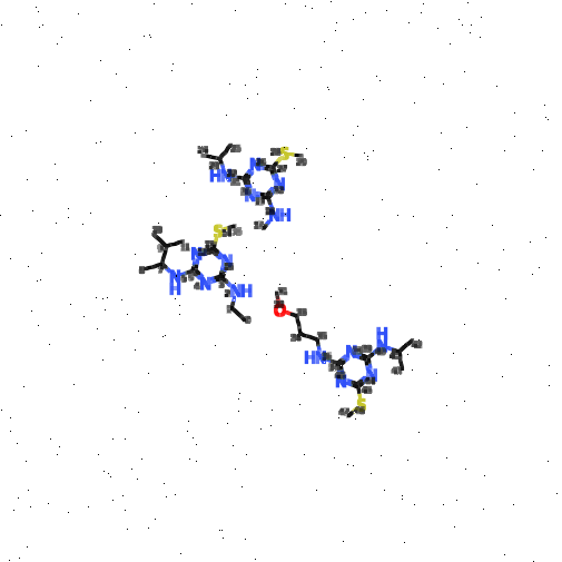 CCNc1nc(NC(C)C(C)C)nc(SC)n1.CNc1nc(NC(C)C)nc(SC)n1.COCCCNc1nc(NC(C)C)nc(SC)n1